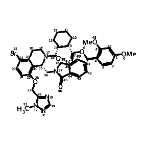 COc1ccc(COC(=O)[C@H]2CCCC[C@H]2C(=O)N2CCc3c(Br)ccc(OCc4ncnn4C)c3[C@H]2CN2Cc3ccccc3C2=O)c(OC)c1